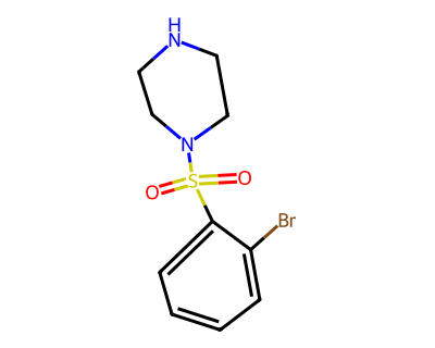 O=S(=O)(c1ccccc1Br)N1CCNCC1